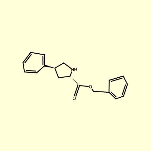 O=C(OCc1ccccc1)[C@@H]1C[C@@H](c2ccccc2)CN1